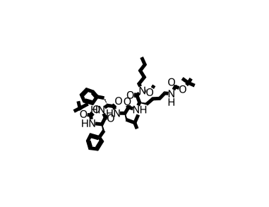 CCCCCN(OC)C(=O)[C@@H](CCCCNC(=O)OC(C)(C)C)NC(=O)[C@@H](CC(C)C)NC(=O)[C@@H](Cc1ccccc1)NC(=O)[C@@H](Cc1ccccc1)NC(=O)OC(C)(C)C